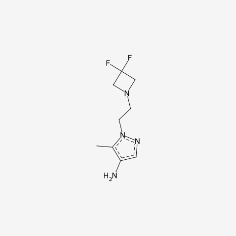 Cc1c(N)cnn1CCN1CC(F)(F)C1